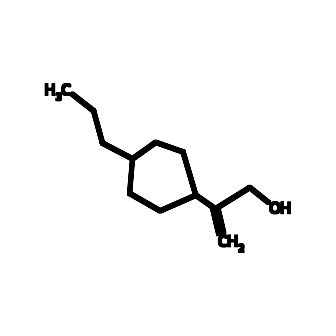 C=C(CO)C1CCC(CCC)CC1